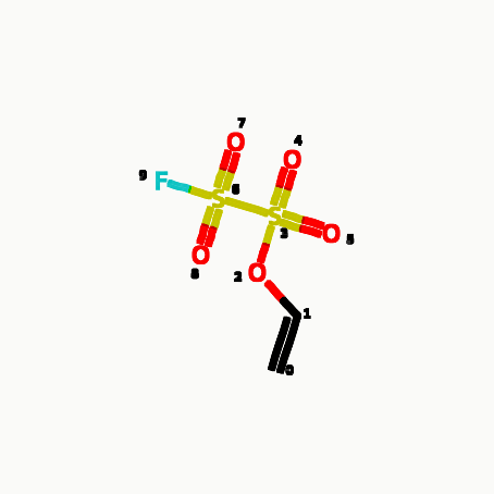 C=COS(=O)(=O)S(=O)(=O)F